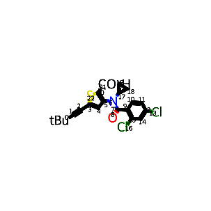 CC(C)(C)C#Cc1cc(N(C(=O)c2ccc(Cl)cc2Cl)C2CC2)c(C(=O)O)s1